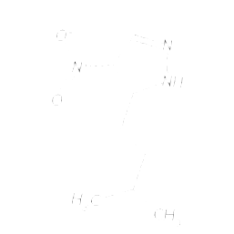 CC(C)CCc1[nH]ncc1[N+](=O)[O-]